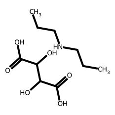 CCCNCCC.O=C(O)C(O)C(O)C(=O)O